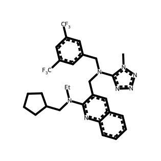 CCN(CC1CCCC1)c1nc2ccccc2cc1CN(Cc1cc(C(F)(F)F)cc(C(F)(F)F)c1)c1nnnn1C